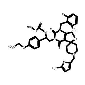 CC(C)(C)OC(=O)NC(Cn1c(=O)c2c(n(Cc3c(F)cccc3C(F)(F)F)c1=O)COC21CCN(Cc2ccc(C(F)(F)F)o2)CC1)c1ccc(OCC(=O)O)cc1